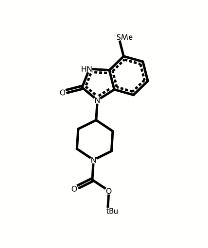 CSc1cccc2c1[nH]c(=O)n2C1CCN(C(=O)OC(C)(C)C)CC1